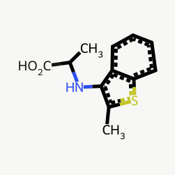 Cc1sc2ccccc2c1NC(C)C(=O)O